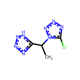 CC(c1nnn[nH]1)n1nnnc1Cl